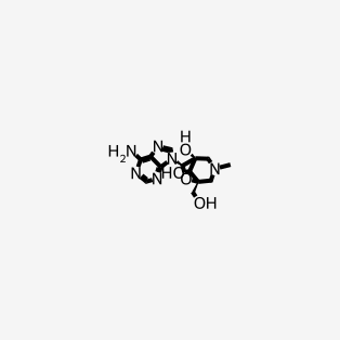 CN1C[C@]2(CO)O[C@@H](n3cnc4c(N)ncnc43)[C@](O)(C1)C2O